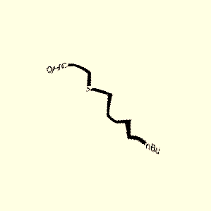 CCCCCCCCSC[C]=O